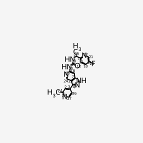 Cc1cc(-c2n[nH]c3cc(NC(=O)N[C@H](C)c4ccc(F)cn4)ncc23)ccn1